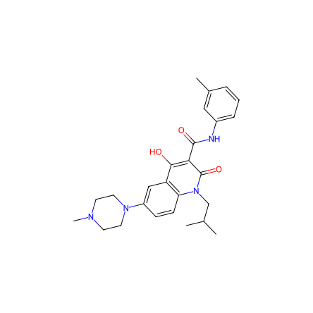 Cc1cccc(NC(=O)c2c(O)c3cc(N4CCN(C)CC4)ccc3n(CC(C)C)c2=O)c1